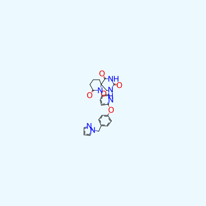 O=C1NC(=O)C2(CCCC(=O)N2c2ccc(Oc3ccc(Cn4cccn4)cc3)nc2)C(=O)N1